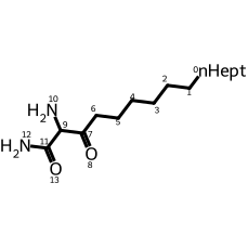 CCCCCCCCCCCCCC(=O)C(N)C(N)=O